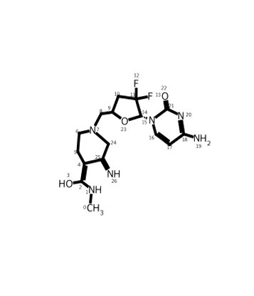 CN/C(O)=C1/CCN(CC2CC(F)(F)[C@H](n3ccc(N)nc3=O)O2)CC1=N